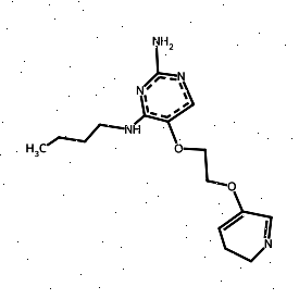 CCCCNc1nc(N)ncc1OCCOC1=CCCN=C1